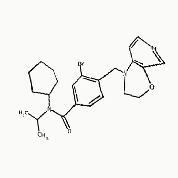 CC(C)N(C(=O)c1ccc(CN2CCOc3cnccc32)c(Br)c1)C1CCCCC1